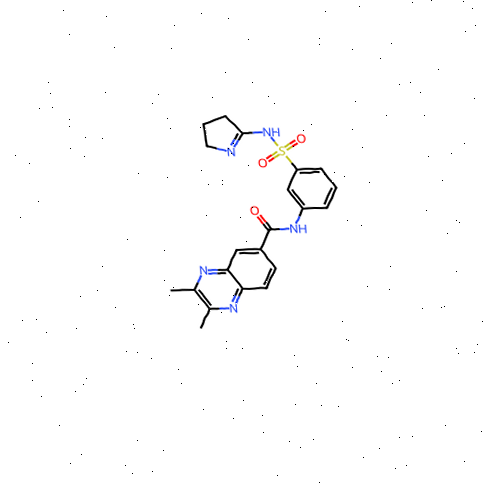 Cc1nc2ccc(C(=O)Nc3cccc(S(=O)(=O)NC4=NCCC4)c3)cc2nc1C